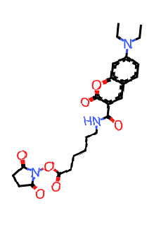 CCN(CC)c1ccc2cc(C(=O)NCCCCCC(=O)ON3C(=O)CCC3=O)c(=O)oc2c1